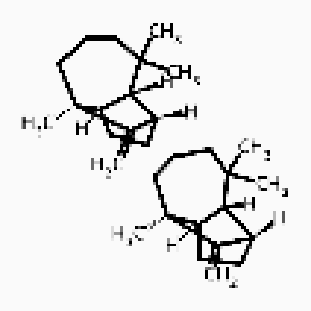 C=C1[C@H]2CC[C@@H]3[C@@H]2C(C)(C)CCC[C@]13C.C=C1[C@H]2CC[C@@H]3[C@@H]2C(C)(C)CCC[C@]13C